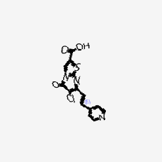 O=C(O)c1cn2c(=O)c(Cl)c(/C=C/c3ccncc3)nc2s1